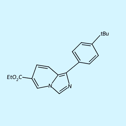 CCOC(=O)c1ccc2c(-c3ccc(C(C)(C)C)cc3)ncn2c1